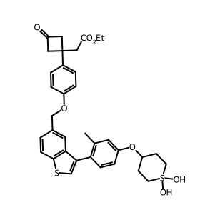 CCOC(=O)CC1(c2ccc(OCc3ccc4scc(-c5ccc(OC6CCS(O)(O)CC6)cc5C)c4c3)cc2)CC(=O)C1